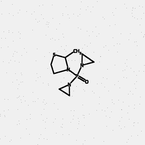 CC1SCCN1P(=O)(N1CC1)N1CC1